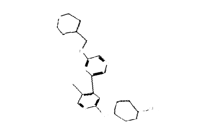 N[C@H]1CC[C@H](Nc2cc(-c3cncc(NCC4CCOCC4)n3)c(Cl)cn2)CC1